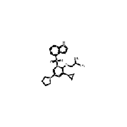 CC(C)COC1C(C2CC2)=CC(N2CCCC2)=CN1S(=O)(=O)c1cccc2[nH]ccc12